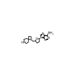 Nc1ncnc2c1ncn2C1CCC(CN2CCC23CCNCC3)O1